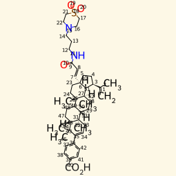 C=C(C)[C@@H]1CC[C@]2(/C=C/C(=O)NCCCN3CCS(=O)(=O)CC3)CC[C@]3(C)[C@H](CC[C@@H]4[C@@]5(C)CC=C(c6ccc(C(=O)O)cc6)C(C)(C)[C@@H]5CC[C@]43C)[C@@H]12